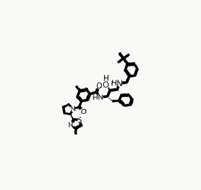 Cc1cc(C(=O)N[C@@H](Cc2ccccc2)[C@H](O)CNCc2cccc(C(C)(C)C)c2)cc(C(=O)N2CCC[C@@H]2c2nc(C)cs2)c1